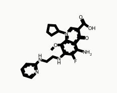 COc1c(NCCNc2ccccn2)c(F)c(N)c2c(=O)c(C(=O)O)cn(C3CCCC3)c12